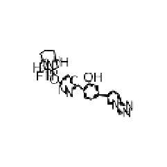 Oc1cc(-c2ccc3nncn3c2)ccc1-c1ccc(O[C@H]2C[C@@H]3CCC[C@@H](N3)[C@H]2F)nn1